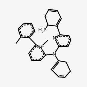 Cc1ccccc1-c1cccc(N(C2=CC=CCC2)c2cccc(C3=CC=CCC3P)n2)[n+]1C